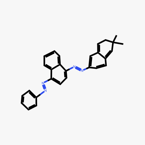 CC1(C)C=c2ccc(N=Nc3ccc(N=Nc4ccccc4)c4ccccc34)cc2=CC1